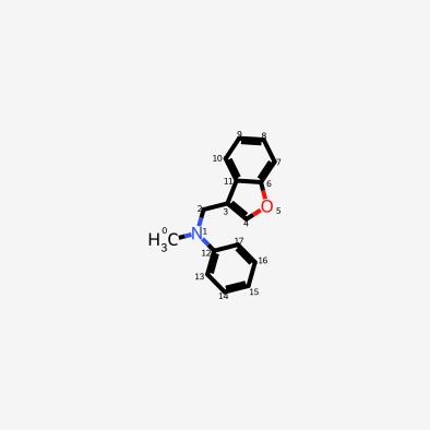 CN(Cc1coc2ccccc12)c1ccccc1